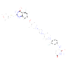 O=C1CCC(Nc2ccc(N3CCC(N4CC(N5CCC(COc6cc(F)c7c(=O)[nH]c(CSC8CCOCC8)nc7c6)CC5)C4)CC3)c(F)c2)C(=O)N1